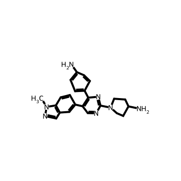 Cn1ncc2cc(-c3cnc(N4CCC(N)CC4)nc3-c3ccc(N)cc3)ccc21